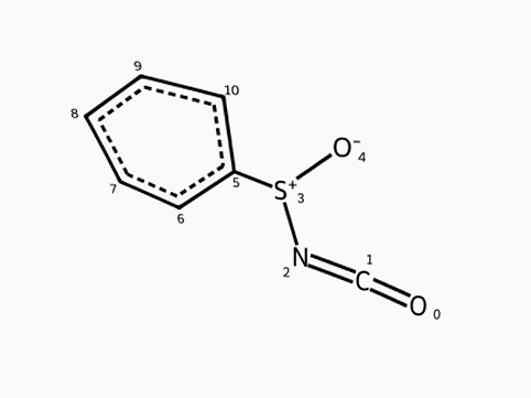 O=C=N[S+]([O-])c1ccccc1